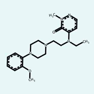 CCN(CCN1CCN(c2ccccc2OC)CC1)c1ccnn(C)c1=O